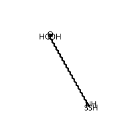 O=P(O)(O)CCCCCCCCCCCCCCCCCCCCCCCCCCCCCCCCCCCCCNC(=S)S